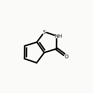 O=c1[nH]sc2c1CC=C2